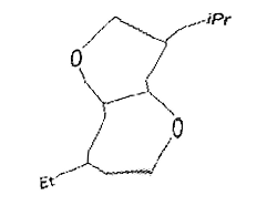 CCC1COC2C(C(C)C)COC12